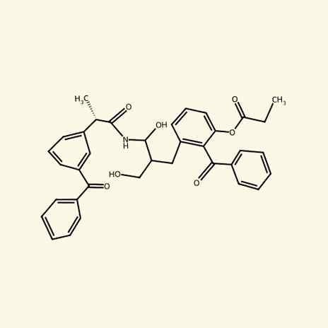 CCC(=O)Oc1cccc(CC(CO)C(O)NC(=O)[C@@H](C)c2cccc(C(=O)c3ccccc3)c2)c1C(=O)c1ccccc1